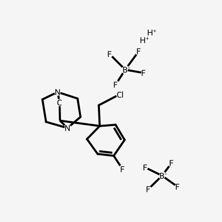 FC1=CCC(CCl)(C2CN3CCN2CC3)C=C1.F[B-](F)(F)F.F[B-](F)(F)F.[H+].[H+]